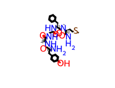 CSCC[C@@H](C(N)=O)N(C)C(=O)[C@H](Cc1ccccc1)NC(=O)CNC(=O)[C@@H](C)NC(=O)[C@@H](N)Cc1ccc(O)cc1